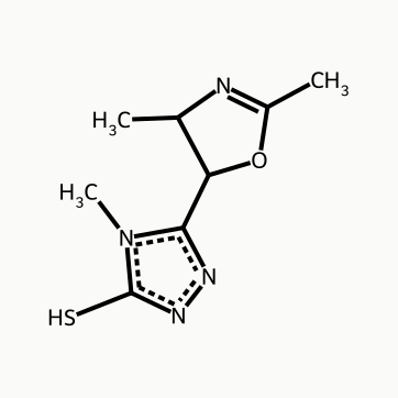 CC1=NC(C)C(c2nnc(S)n2C)O1